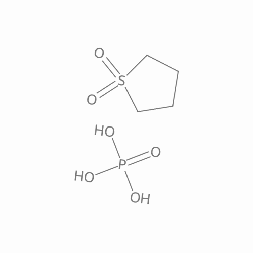 O=P(O)(O)O.O=S1(=O)CCCC1